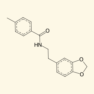 Cc1ccc(C(=O)NCCc2ccc3c(c2)OCO3)cc1